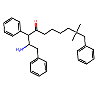 C[Si](C)(CCCCC(=O)C(c1ccccc1)C(N)Cc1ccccc1)Cc1ccccc1